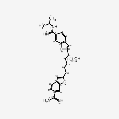 CC(C)NC(=N)c1ccc2cc(CCCCCc3cc4ccc(C(=N)N)cc4o3)oc2c1.Cl.Cl